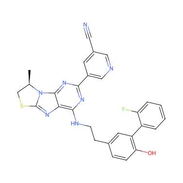 C[C@@H]1CSc2nc3c(NCCc4ccc(O)c(-c5ccccc5F)c4)nc(-c4cncc(C#N)c4)nc3n21